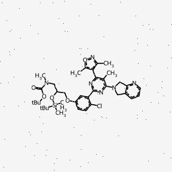 Cc1noc(C)c1-c1nc(-c2cc(OCC(CN(C)C(=O)OC(C)(C)C)O[Si](C)(C)C(C)(C)C)ccc2Cl)nc(N2Cc3cccnc3C2)c1C